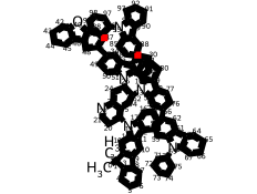 CC1(C)c2ccccc2-c2cc3c4ccccc4n(-c4ccnc5cc(-n6c7ccccc7c7cc(-c8ccc9oc%10ccccc%10c9c8)ccc76)c(-n6c7cc(-c8ccc9c(c8)c8ccccc8n9-c8ccccc8)ccc7c7ccc(-c8ccc9c(c8)c8ccccc8n9-c8ccccc8)cc76)cc45)c3cc21